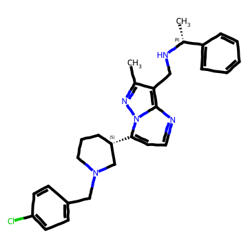 Cc1nn2c([C@H]3CCCN(Cc4ccc(Cl)cc4)C3)ccnc2c1CN[C@H](C)c1ccccc1